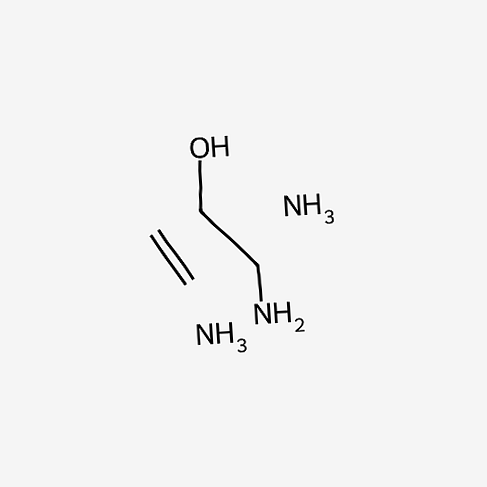 C=C.N.N.NCCO